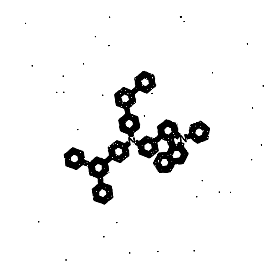 c1ccc(-c2cccc(-c3ccc(N(c4ccc(-c5cc(-c6ccccc6)cc(-c6ccccc6)c5)cc4)c4cccc(-c5cccc6c5c5c7ccccc7ccc5n6-c5ccccc5)c4)cc3)c2)cc1